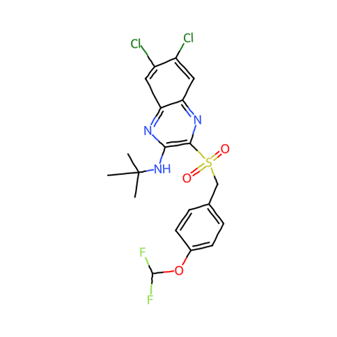 CC(C)(C)Nc1nc2cc(Cl)c(Cl)cc2nc1S(=O)(=O)Cc1ccc(OC(F)F)cc1